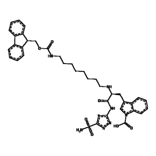 NS(=O)(=O)c1nnc(NC(=O)[C@H](Cc2cn(C(=O)O)c3ccccc23)NCCCCCCCCNC(=O)OCC2c3ccccc3-c3ccccc32)s1